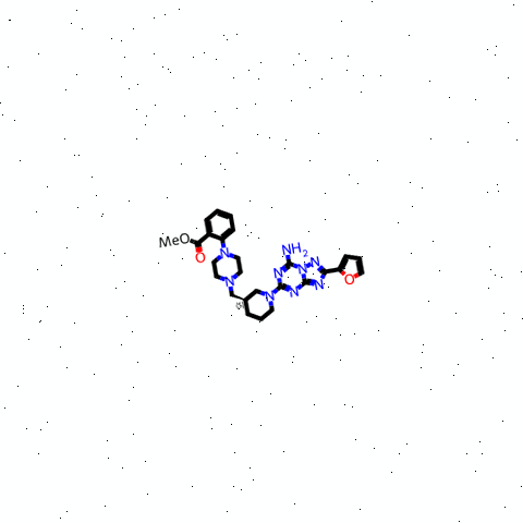 COC(=O)c1ccccc1N1CCN(C[C@@H]2CCCN(c3nc(N)n4nc(-c5ccco5)nc4n3)C2)CC1